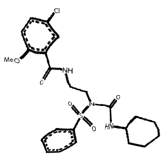 COc1ccc(Cl)cc1C(=O)NCCN(C(=O)NC1CCCCC1)S(=O)(=O)c1ccccc1